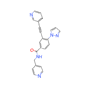 O=C(NCc1ccncc1)c1ccc(-n2cccn2)c(C#Cc2cccnc2)c1